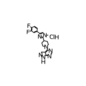 Cl.Cn1cc(-c2ccc(F)c(F)c2)nc1C1CCN(c2ncnc3[nH]ncc23)CC1